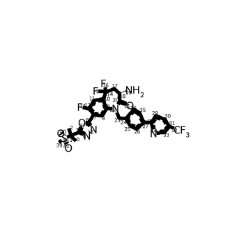 CC(C)(c1nnc(-c2cc3c(cc2F)C(F)(F)C[C@H](N)C(=O)N3Cc2ccc(-c3ccc(C(F)(F)F)cn3)cc2)o1)S(C)(=O)=O